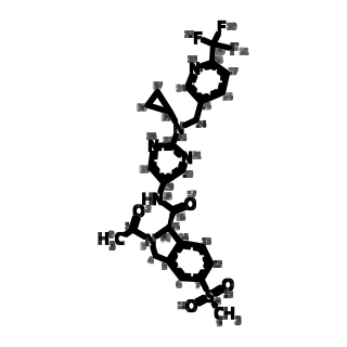 CC(=O)N1Cc2cc(S(C)(=O)=O)ccc2[C@@H]1C(=O)Nc1cnc(N(Cc2ccc(C(F)(F)F)nc2)C2CC2)nc1